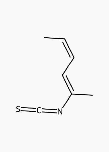 C/C=C\C=C(/C)N=C=S